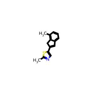 Cc1ncc(C2=Cc3cccc(C)c3C2)s1